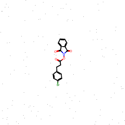 O=C(CCc1ccc(Br)cc1)ON1C(=O)c2ccccc2C1=O